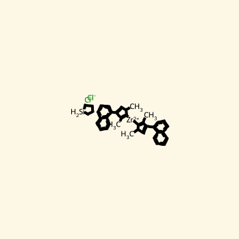 C1CC[SiH2]C1.CC1=[C]([Zr+2][C]2=C(C)C(c3cccc4ccccc34)=CC2C)C(C)C=C1c1cccc2ccccc12.[Cl-].[Cl-]